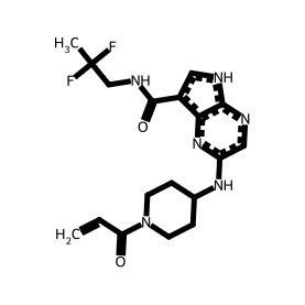 C=CC(=O)N1CCC(Nc2cnc3[nH]cc(C(=O)NCC(C)(F)F)c3n2)CC1